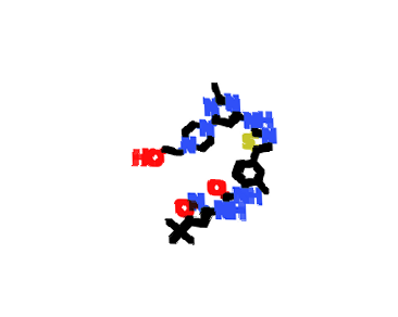 Cc1nc(Nc2ncc(-c3ccc(NC(=O)Nc4cc(C(C)(C)C)on4)c(C)c3)s2)cc(N2CCN(CCO)CC2)n1